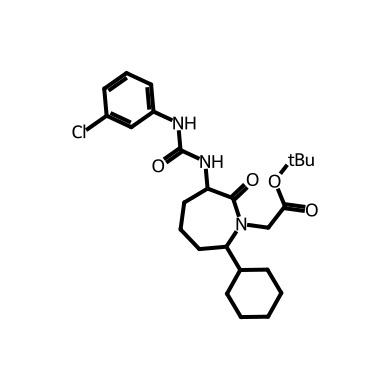 CC(C)(C)OC(=O)CN1C(=O)C(NC(=O)Nc2cccc(Cl)c2)CCCC1C1CCCCC1